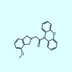 COc1cccc2c1CN(CC(=O)N1c3ccccc3Oc3ccccc31)C2